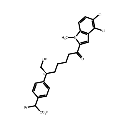 CC(C)C(C(=O)O)c1ccc([C@@H](CO)CCCCC(=O)c2cc3c(Cl)c(Cl)ccc3n2C)cc1